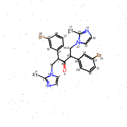 CCc1nccn1CC(C(=O)C(Cn1ccnc1CC)c1cccc(Br)c1)c1cccc(Br)c1